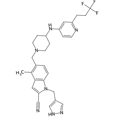 Cc1c(CN2CCC(Nc3ccnc(CCC(F)(F)F)c3)CC2)ccc2c1cc(C#N)n2Cc1cn[nH]c1